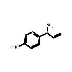 C=C[C@H](N)c1ccc(C=O)cn1